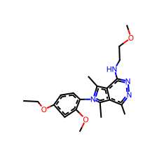 CCOc1ccc(-n2c(C)c3c(C)nnc(NCCOC)c3c2C)c(OC)c1